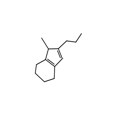 CCCC1=[C]C2=C(CCCC2)C1C